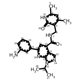 Cc1cc(C)c(CNC(=O)c2cc(-c3cccc(N)c3)nc3c2cnn3C(C)C)c(=O)[nH]1